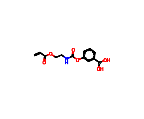 C=CC(=O)OCCNC(=O)Oc1cccc(B(O)O)c1